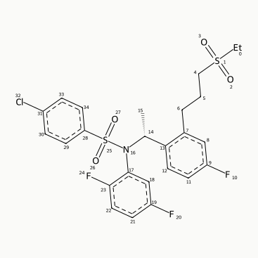 CCS(=O)(=O)CCCc1cc(F)ccc1[C@@H](C)N(c1cc(F)ccc1F)S(=O)(=O)c1ccc(Cl)cc1